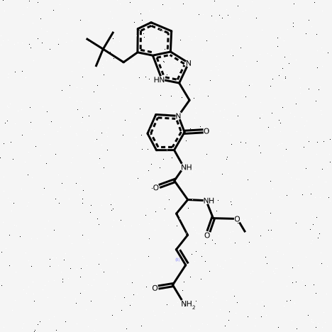 COC(=O)NC(CC/C=C/C(N)=O)C(=O)Nc1cccn(Cc2nc3cccc(CC(C)(C)C)c3[nH]2)c1=O